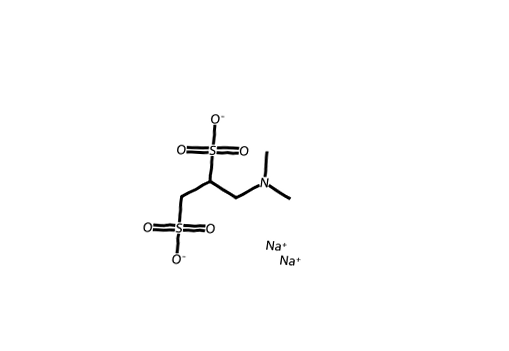 CN(C)CC(CS(=O)(=O)[O-])S(=O)(=O)[O-].[Na+].[Na+]